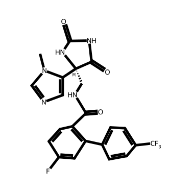 Cn1cncc1[C@@]1(CNC(=O)c2ccc(F)cc2-c2ccc(C(F)(F)F)cc2)NC(=O)NC1=O